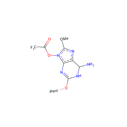 CCC[C@@H](C)OC1=Nc2c(nc(OC)n2OC(=O)C(F)(F)F)C(N)N1